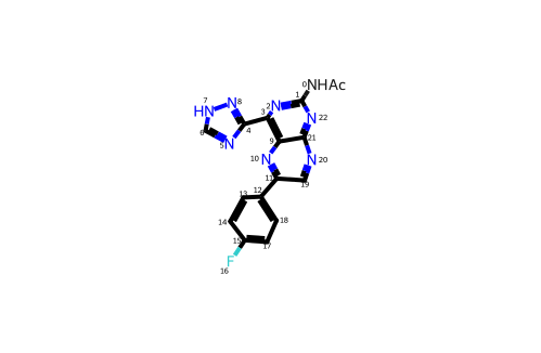 CC(=O)Nc1nc(-c2nc[nH]n2)c2nc(-c3ccc(F)cc3)cnc2n1